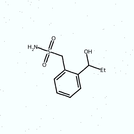 CCC(O)c1ccccc1CS(N)(=O)=O